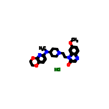 COc1ccc2ncc(=O)n(CCN3CCC(N(C)c4ccc5c(n4)OCCO5)CC3)c2c1.Cl